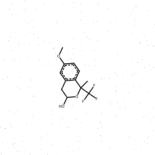 COc1ccc2c(c1)CC(O)OC2(C)C(F)(F)F